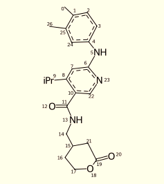 Cc1ccc(Nc2cc(C(C)C)c(C(=O)NCC3CCOC(=O)C3)cn2)cc1C